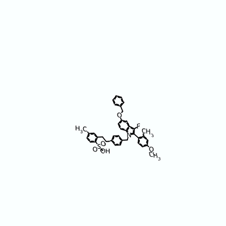 COc1ccc(-c2c(F)c3cc(OCc4ccccc4)ccc3n2Cc2ccc(CCc3cc(C)ccc3S(=O)(=O)O)cc2)c(C)c1